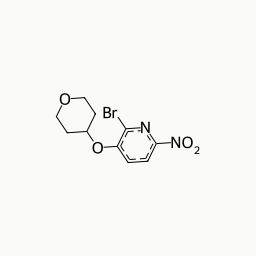 O=[N+]([O-])c1ccc(OC2CCOCC2)c(Br)n1